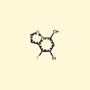 Oc1cc(Br)c(F)c2ccnn12